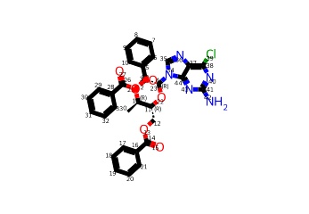 C[C@@H](OC(=O)c1ccccc1)[C@@H](COC(=O)c1ccccc1)O[C@H](COC(=O)c1ccccc1)n1cnc2c(Cl)nc(N)nc21